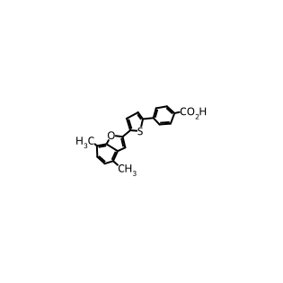 Cc1ccc(C)c2oc(-c3ccc(-c4ccc(C(=O)O)cc4)s3)cc12